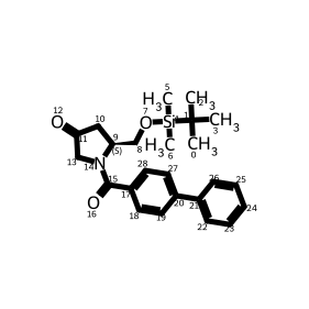 CC(C)(C)[Si](C)(C)OC[C@@H]1CC(=O)CN1C(=O)c1ccc(-c2ccccc2)cc1